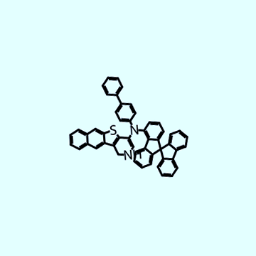 C1=C(N(c2ccc(-c3ccccc3)cc2)c2cccc3c2-c2ccccc2C32c3ccccc3-c3ccccc32)c2sc3cc4ccccc4cc3c2CN1